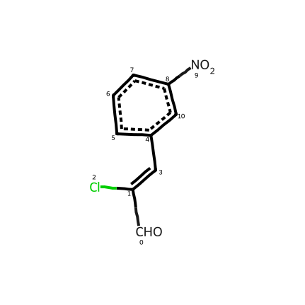 O=CC(Cl)=Cc1cccc([N+](=O)[O-])c1